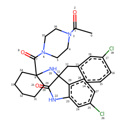 CC(=O)N1CCN(C(=O)C2(NC3(Cc4cccc(Cl)c4)C(=O)Nc4cc(Cl)ccc43)CCCCC2)CC1